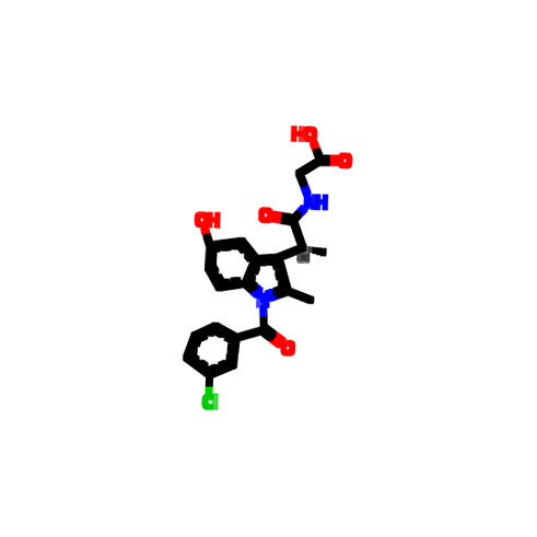 Cc1c([C@@H](C)C(=O)NCC(=O)O)c2cc(O)ccc2n1C(=O)c1cccc(Cl)c1